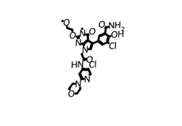 COCCOc1nc2c(c(-c3cc(Cl)c(O)c(C(N)=O)c3)cn2CC(=O)Nc2cc(N3CCOCC3)ncc2Cl)c(=O)n1C